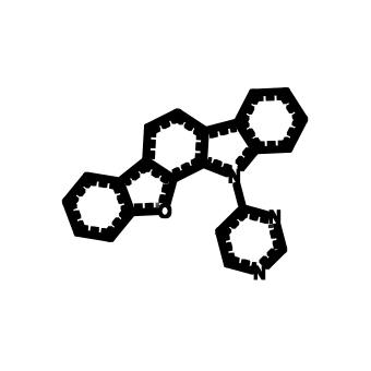 c1ccc2c(c1)oc1c2ccc2c3ccccc3n(-c3ccncn3)c21